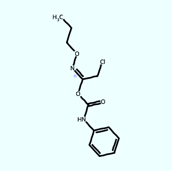 CCCO/N=C(\CCl)OC(=O)Nc1ccccc1